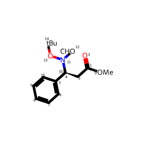 COC(=O)C[C@@H](c1ccccc1)N(C=O)OC(C)(C)C